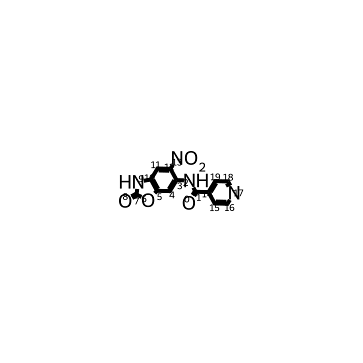 O=C(Nc1cc2oc(=O)[nH]c2cc1[N+](=O)[O-])c1ccncc1